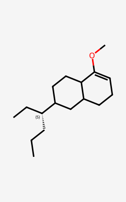 CCC[C@H](CC)C1CCC2C(OC)=CCCC2C1